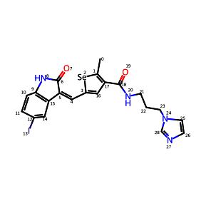 Cc1[se]c(C=C2C(=O)Nc3ccc(I)cc32)cc1C(=O)NCCCn1ccnc1